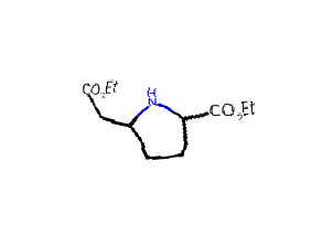 CCOC(=O)CC1CCC(C(=O)OCC)N1